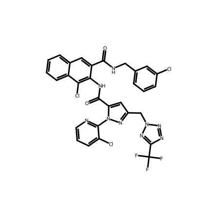 O=C(NCc1cccc(Cl)c1)c1cc2ccccc2c(Cl)c1NC(=O)c1cc(Cn2nnc(C(F)(F)F)n2)nn1-c1ncccc1Cl